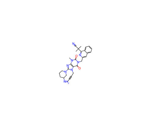 CC#CCn1c(N2CCCC(N)C2)nc2c1c(=O)n(Cc1cc3ccccc3c(C(C)(C)C#N)n1)c(=O)n2C